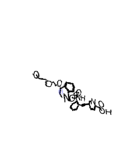 C=Nc1c(/C(=C\C)OCCOCCOC)cccc1S(=O)(=O)Nc1ccccc1C#Cc1ccc(C(=O)O)nc1